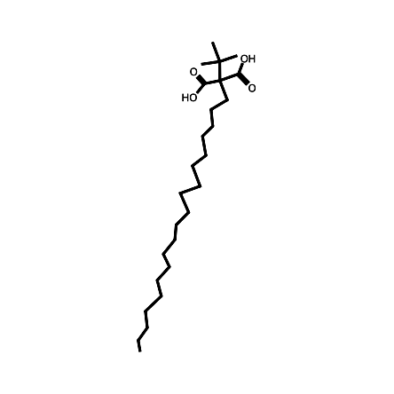 CCCCCCCCCCCCCCCCCCCC(C(=O)O)(C(=O)O)C(C)(C)C